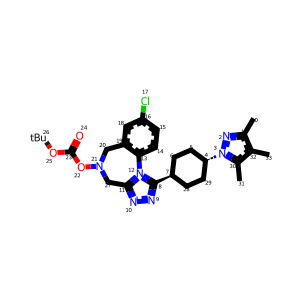 Cc1nn([C@H]2CC[C@H](c3nnc4n3-c3ccc(Cl)cc3CN(OC(=O)OC(C)(C)C)C4)CC2)c(C)c1C